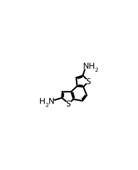 Nc1cc2c(ccc3sc(N)cc32)s1